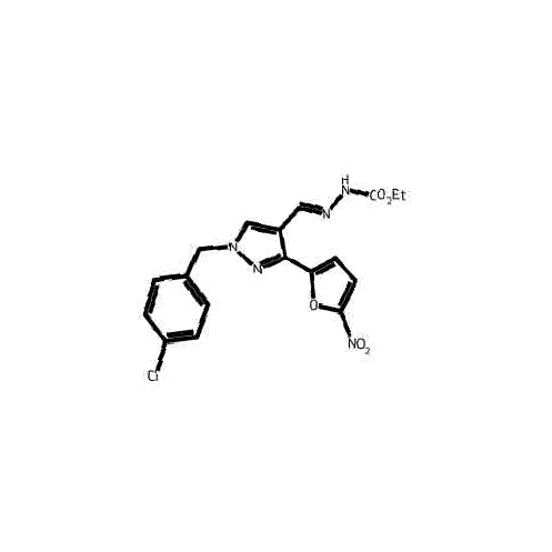 CCOC(=O)N/N=C/c1cn(Cc2ccc(Cl)cc2)nc1-c1ccc([N+](=O)[O-])o1